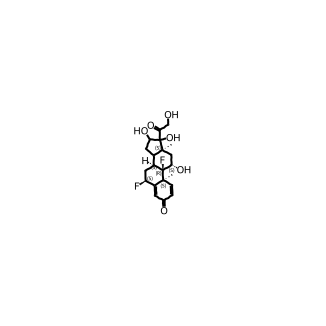 C[C@]12C[C@H](O)[C@@]3(F)[C@@H](C[C@H](F)C4=CC(=O)C=C[C@@]43C)C1CC(O)C2(O)C(=O)CO